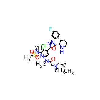 C[C@H]1C[C@@H]1CN(C)CC(=O)N(C)c1cc(-c2nnc([C@H]3NCCC[C@H]3c3ccc(F)cc3)o2)c(Cl)c(N(C)S(C)(=O)=O)n1